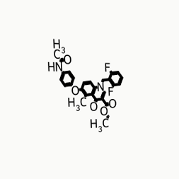 CCOC(=O)c1cn(Cc2c(F)cccc2F)c2ccc(Oc3ccc(NC(C)=O)cc3)c(C)c2c1=O